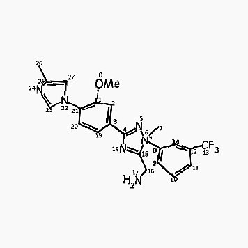 COc1cc(C2=N[N+](C)(c3cccc(C(F)(F)F)c3)C(CN)=N2)ccc1-n1cnc(C)c1